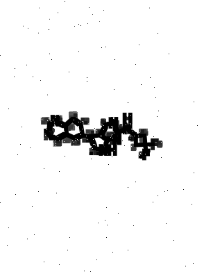 FC1(F)CC(Nc2ncc3c(-c4ccc5ncncc5c4)c[nH]c3n2)C1